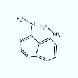 NN.NNc1nccc2ccccc12